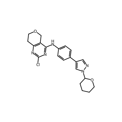 Clc1nc2c(c(Nc3ccc(-c4cnn(C5CCCCO5)c4)cc3)n1)COCC2